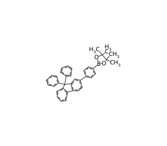 CC1(C)OB(c2ccc(-c3ccc4c(c3)C(c3ccccc3)(c3ccccc3)c3ccccc3-4)cc2)OC1(C)C